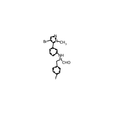 Cn1ncc(Br)c1-c1cccc(NN(C=O)Cc2ccc(F)cc2)c1